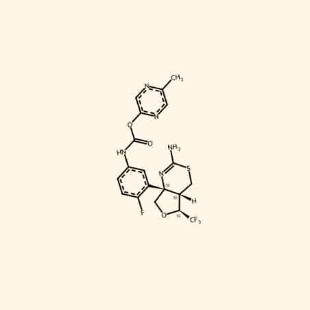 Cc1cnc(OC(=O)Nc2ccc(F)c([C@]34CO[C@H](C(F)(F)F)[C@H]3CSC(N)=N4)c2)cn1